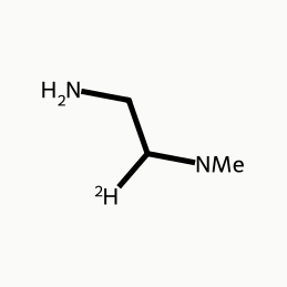 [2H]C(CN)NC